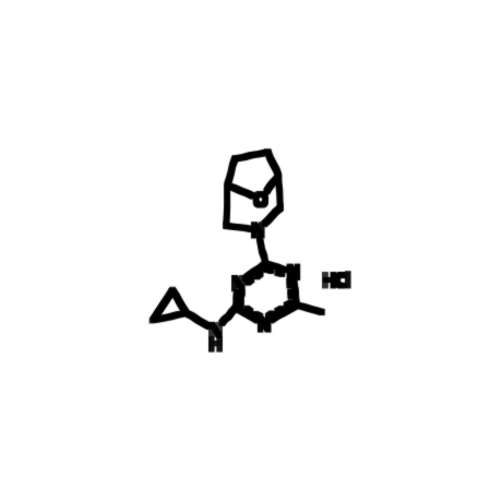 Cc1nc(NC2CC2)nc(N2CC3CCC(C2)O3)n1.Cl